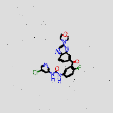 O=C(Nc1cncc(Cl)c1)Nc1ccc(F)c(C(=O)c2ccc3ncc(N4CCOCC4)nc3c2)c1